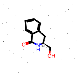 O=C1N[C@H](CO)Cc2ccccc21